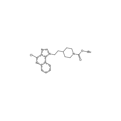 CC(C)(C)OC(=O)N1CCC(CCn2cnc3c(Cl)nc4ccccc4c32)CC1